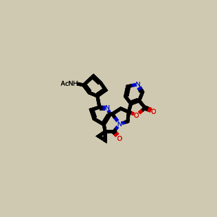 CC(=O)Nc1cccc(-c2ccc(C3(C(=O)N4CCC5(C4)OC(=O)c4cnccc45)CC3)cn2)c1